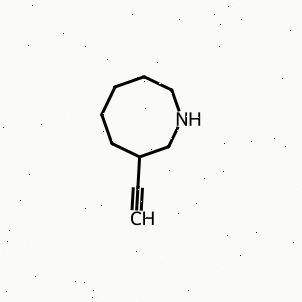 C#CC1CCCCCNC1